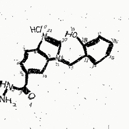 Cl.NNC(=O)c1ccc2c(c1)[N+](=Cc1ccccc1O)C=N2